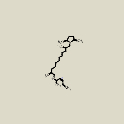 C=C/C=C\C(=C)NCC(=C)CCCCCCCCC(=C)CN1C(=C)CCC1=C